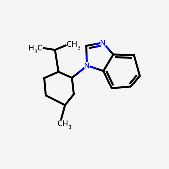 CC1CCC(C(C)C)C(n2cnc3ccccc32)C1